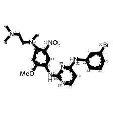 COc1cc(N(C)CCN(C)C)c([N+](=O)[O-])cc1Nc1nccc(Nc2cccc(Br)c2)n1